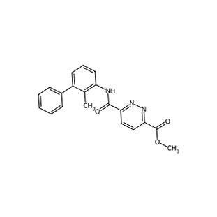 COC(=O)c1ccc(C(=O)Nc2cccc(-c3ccccc3)c2C)nn1